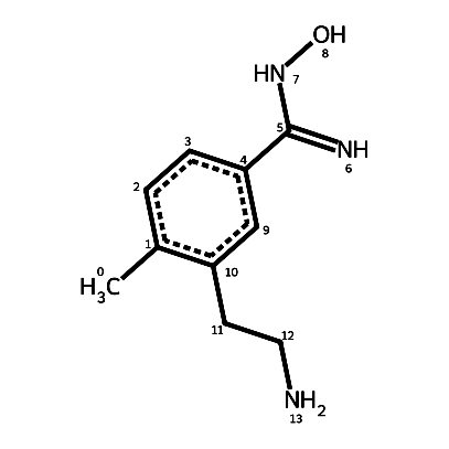 Cc1ccc(C(=N)NO)cc1CCN